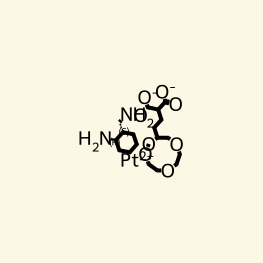 NC[C@@H]1CCCC[C@H]1N.O=C([O-])C(CCC1COCCOCCOO1)C(=O)[O-].[Pt+2]